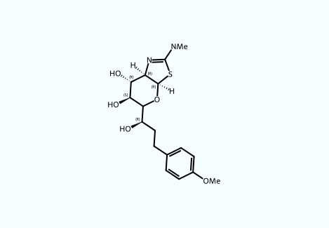 CNC1=N[C@@H]2[C@@H](O)[C@H](O)C([C@H](O)CCc3ccc(OC)cc3)O[C@@H]2S1